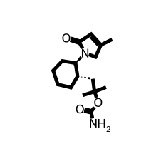 CC1=CC(=O)N([C@@H]2CCCC[C@H]2CC(C)(C)OC(N)=O)C1